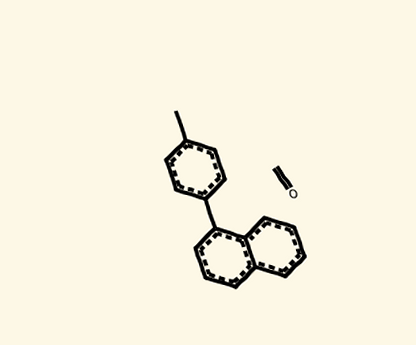 C=O.Cc1ccc(-c2cccc3ccccc23)cc1